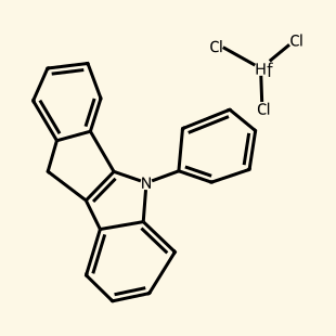 [Cl][Hf]([Cl])[Cl].c1ccc(-n2c3c(c4ccccc42)Cc2ccccc2-3)cc1